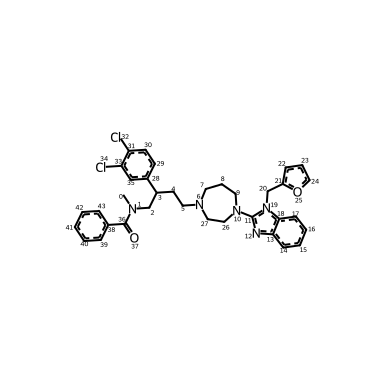 CN(CC(CCN1CCCN(c2nc3ccccc3n2Cc2ccco2)CC1)c1ccc(Cl)c(Cl)c1)C(=O)c1ccccc1